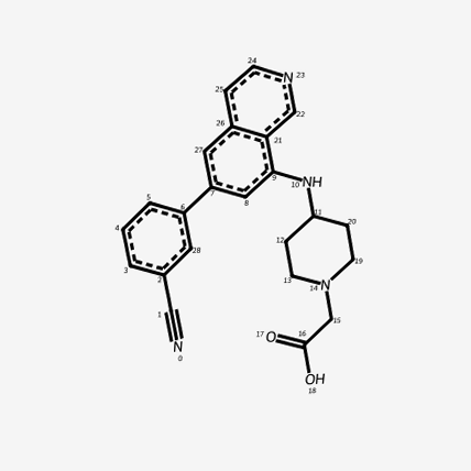 N#Cc1cccc(-c2cc(NC3CCN(CC(=O)O)CC3)c3cnccc3c2)c1